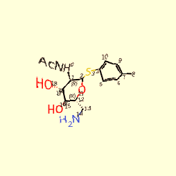 CC(=O)N[C@H]1C(Sc2ccc(C)cc2)O[C@H](CN)[C@H](O)[C@@H]1O